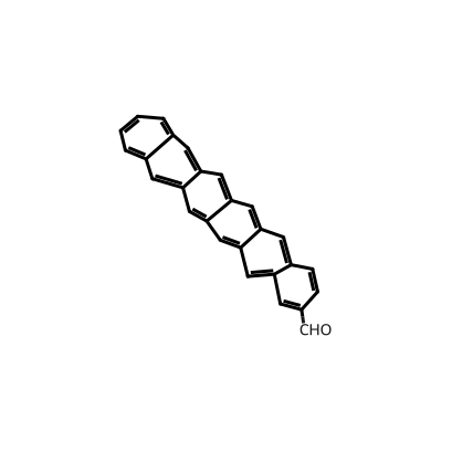 O=Cc1ccc2cc3cc4cc5cc6ccccc6cc5cc4cc3cc2c1